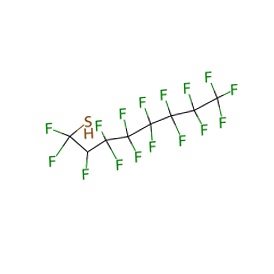 FC(C(F)(F)S)C(F)(F)C(F)(F)C(F)(F)C(F)(F)C(F)(F)C(F)(F)F